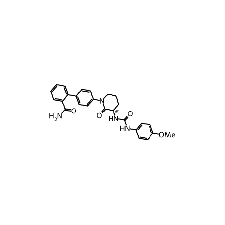 COc1ccc(NC(=O)N[C@@H]2CCCN(c3ccc(-c4ccccc4C(N)=O)cc3)C2=O)cc1